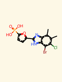 Cc1c(Cl)c(Br)c2[nH]c(-c3ccc(P(=O)(O)O)o3)nc2c1C